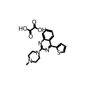 CN1CCN(c2nc(-c3cccs3)c3ccccc3n2)CC1.O=C(O)C(=O)O